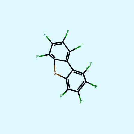 Fc1c(F)c(F)c2c(sc3c(F)c(F)c(F)c(F)c32)c1F